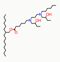 CCCCCCCCC(CCCCCC)COC(=O)CCCCCN(CCCN(CCCCCC)CC(O)CC)CC(O)CC